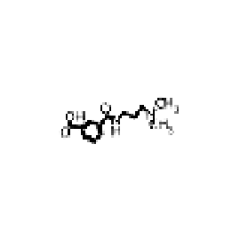 CN(C)CCCNC(=O)c1cccc(C(=O)O)c1